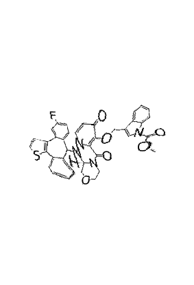 COC(=O)n1cc(COc2c3n(ccc2=O)N(C2c4ccc(F)cc4-c4ccsc4-c4ccccc42)[C@@H]2COCCN2C3=O)c2ccccc21